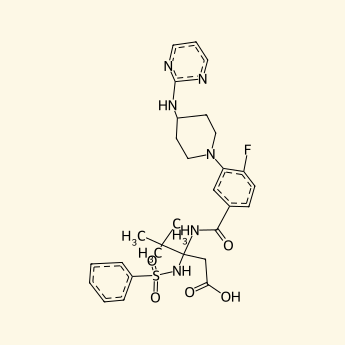 CC(C)(C)C(CC(=O)O)(NC(=O)c1ccc(F)c(N2CCC(Nc3ncccn3)CC2)c1)NS(=O)(=O)c1ccccc1